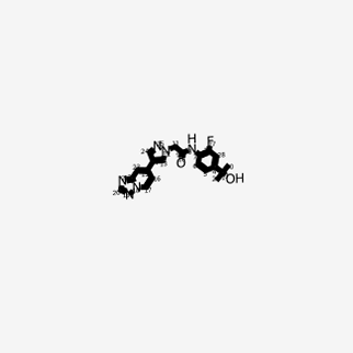 CC(C)(O)c1ccc(NC(=O)Cn2cc(-c3ccn4ncnc4c3)cn2)c(F)c1